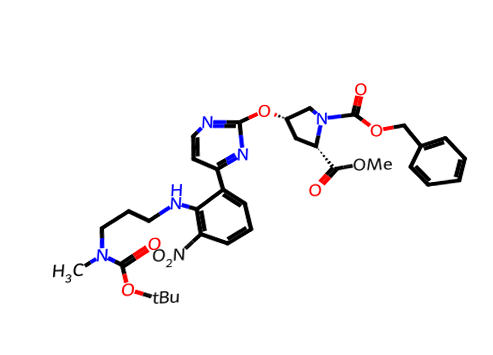 COC(=O)[C@@H]1C[C@H](Oc2nccc(-c3cccc([N+](=O)[O-])c3NCCCN(C)C(=O)OC(C)(C)C)n2)CN1C(=O)OCc1ccccc1